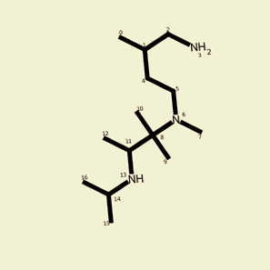 CC(CN)CCN(C)C(C)(C)C(C)NC(C)C